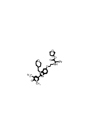 Cc1cc(-c2nc3ccc(OCCNC(C(=O)O[C@H]4CCOC4)C(C)C)cc3n2CC2CCOCC2)cn(C)c1=O